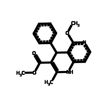 COC(=O)C1=C(C)Nc2ccnc(OC)c2C1c1ccccc1